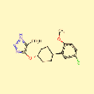 O=C(O)c1[nH]nnc1O[C@H]1CC[C@H](c2cc(Cl)ccc2OC(F)(F)F)CC1